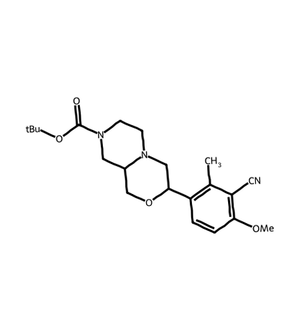 COc1ccc(C2CN3CCN(C(=O)OC(C)(C)C)CC3CO2)c(C)c1C#N